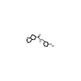 CCOc1cccc(CNC(=O)c2ccc3ncccc3c2)c1